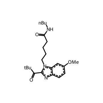 CCCCNC(=O)CCCCn1c(C(=O)C(C)(C)C)nc2ccc(OC)cc21